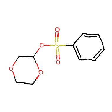 O=S(=O)(OC1COCCO1)c1ccccc1